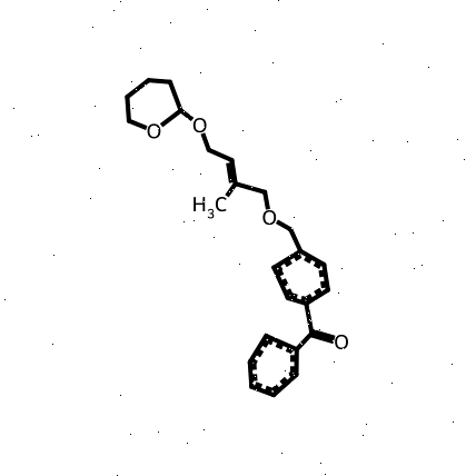 C/C(=C\COC1CCCCO1)COCc1ccc(C(=O)c2ccccc2)cc1